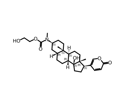 CN(C(=O)OCCO)[C@H]1CC[C@@]2(C)[C@H](CC[C@@H]3[C@@H]2CC[C@]2(C)[C@@H](c4ccc(=O)oc4)CC[C@]32O)C1